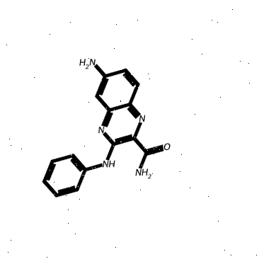 NC(=O)c1nc2ccc(N)cc2nc1Nc1ccccc1